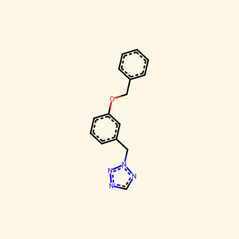 c1ccc(COc2cccc(Cn3ncnn3)c2)cc1